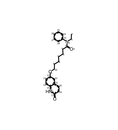 CCN(C(=O)CCCCCCOc1ccc2[nH]c(=O)ccc2c1)c1ccccc1